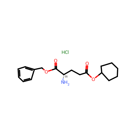 Cl.N[C@@H](CCC(=O)OC1CCCCC1)C(=O)OCc1ccccc1